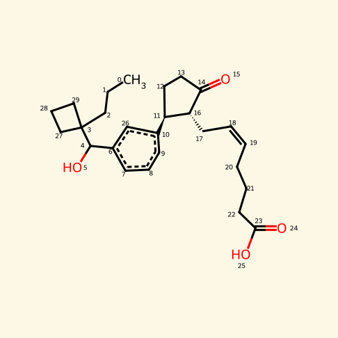 CCCC1(C(O)c2cccc([C@H]3CCC(=O)[C@@H]3C/C=C\CCCC(=O)O)c2)CCC1